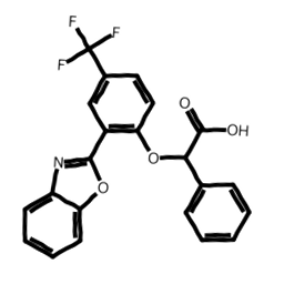 O=C(O)C(Oc1ccc(C(F)(F)F)cc1-c1nc2ccccc2o1)c1ccccc1